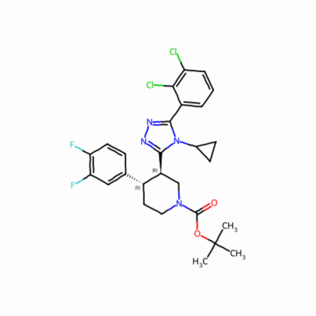 CC(C)(C)OC(=O)N1CC[C@H](c2ccc(F)c(F)c2)[C@@H](c2nnc(-c3cccc(Cl)c3Cl)n2C2CC2)C1